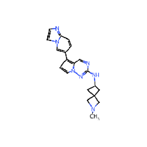 CN1CC2(CC(Nc3ncc4c(-c5ccc6nccn6c5)ccn4n3)C2)C1